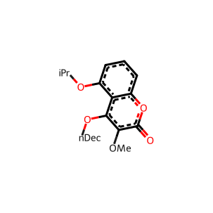 CCCCCCCCCCOc1c(OC)c(=O)oc2cccc(OC(C)C)c12